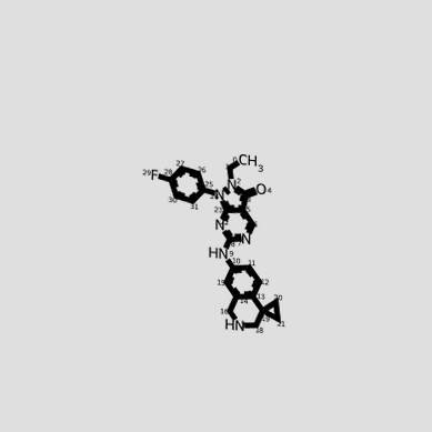 CCn1c(=O)c2cnc(Nc3ccc4c(c3)CNCC43CC3)nc2n1-c1ccc(F)cc1